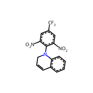 O=[N+]([O-])c1cc(C(F)(F)F)cc([N+](=O)[O-])c1N1CC=Cc2ccccc21